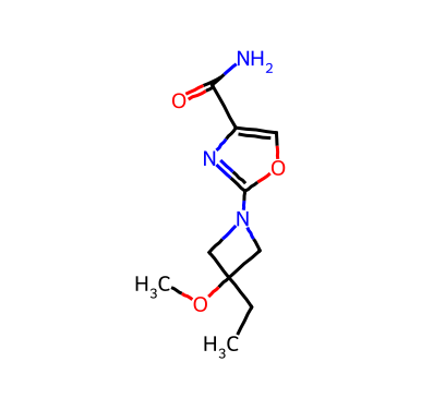 CCC1(OC)CN(c2nc(C(N)=O)co2)C1